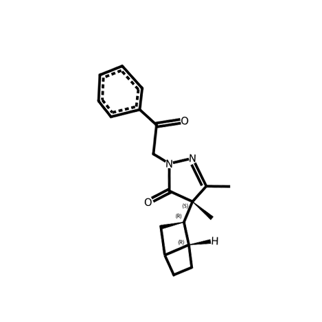 CC1=NN(CC(=O)c2ccccc2)C(=O)[C@@]1(C)[C@@H]1CC2CC[C@H]21